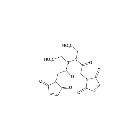 O=C(O)CN(C(=O)CN1C(=O)C=CC1=O)N(CC(=O)O)C(=O)CN1C(=O)C=CC1=O